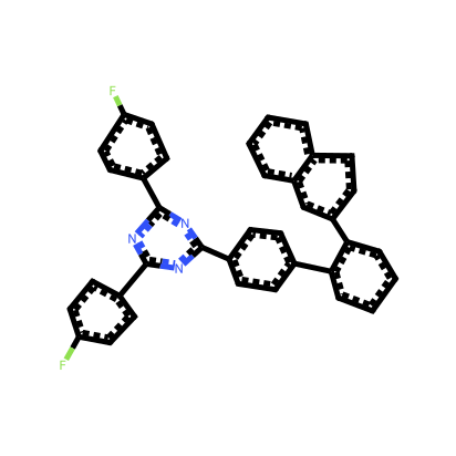 Fc1ccc(-c2nc(-c3ccc(F)cc3)nc(-c3ccc(-c4ccccc4-c4ccc5ccccc5c4)cc3)n2)cc1